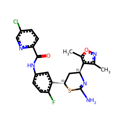 Cc1noc(C)c1[C@@H]1C[C@@H](c2cc(NC(=O)c3ccc(Cl)cn3)ccc2F)SC(N)=N1